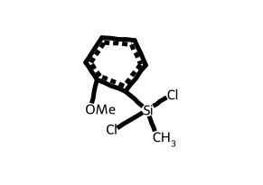 COc1ccccc1[Si](C)(Cl)Cl